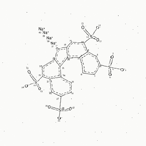 O=S(=O)([O-])c1ccc2c(c1)c(S(=O)(=O)[O-])cc1oc3cc(S(=O)(=O)[O-])c4cc(S(=O)(=O)[O-])ccc4c3c12.[Na+].[Na+].[Na+].[Na+]